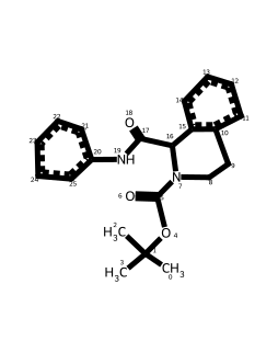 CC(C)(C)OC(=O)N1CCc2ccccc2C1C(=O)Nc1[c]cccc1